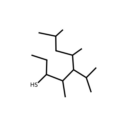 CCC(S)C(C)C(C(C)C)C(C)CC(C)C